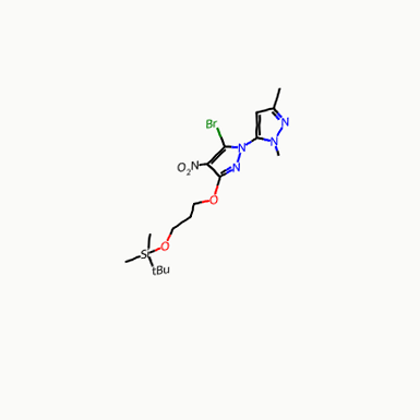 Cc1cc(-n2nc(OCCCO[Si](C)(C)C(C)(C)C)c([N+](=O)[O-])c2Br)n(C)n1